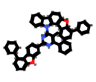 Cc1c(-c2ccccc2)nc(-c2ccc3c(c2)oc2cccc(-c4ccccc4)c23)nc1-n1c2ccccc2c2ccc3oc4c(-c5ccccc5)cccc4c3c21